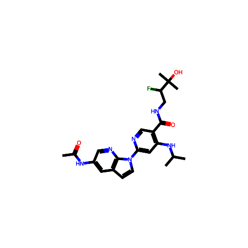 CC(=O)Nc1cnc2c(ccn2-c2cc(NC(C)C)c(C(=O)NCC(F)C(C)(C)O)cn2)c1